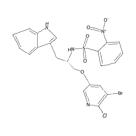 O=[N+]([O-])c1ccccc1S(=O)(=O)N[C@H](COc1cnc(Cl)c(Br)c1)Cc1c[nH]c2ccccc12